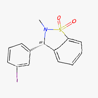 CN1[C@@H](c2cccc(I)c2)c2ccccc2S1(=O)=O